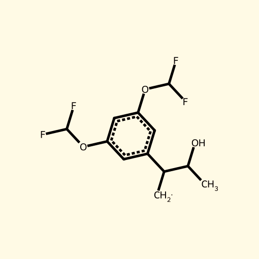 [CH2]C(c1cc(OC(F)F)cc(OC(F)F)c1)C(C)O